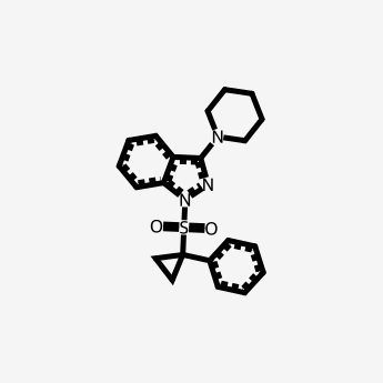 O=S(=O)(n1nc(N2CCCCC2)c2ccccc21)C1(c2ccccc2)CC1